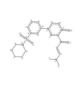 CN(C)C=CC(=O)c1nn(-c2cccc(S(=O)(=O)N3CCCCC3)c2)ccc1=O